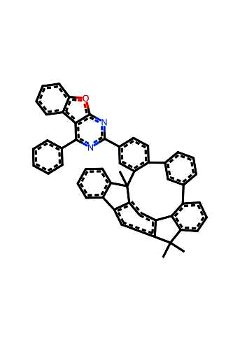 CC1(C)c2cc3c4cc2-c2c(cccc21)-c1cccc(c1)-c1ccc(-c2nc(-c5ccccc5)c5c(n2)oc2ccccc25)cc1C4(C)c1ccccc1-3